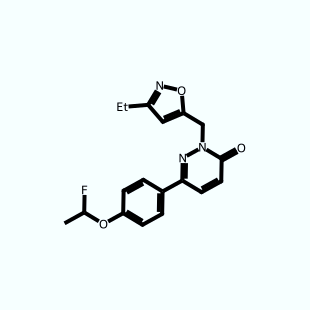 CCc1cc(Cn2nc(-c3ccc(OC(C)F)cc3)ccc2=O)on1